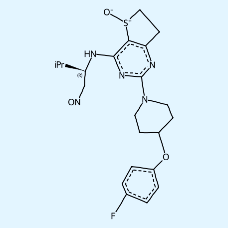 CC(C)[C@H](CN=O)Nc1nc(N2CCC(Oc3ccc(F)cc3)CC2)nc2c1[S+]([O-])CC2